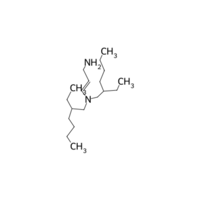 CCCCC(CC)CN(C=CCN)CC(CC)CCCC